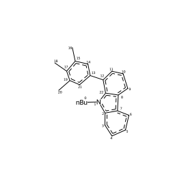 CCCCn1c2ccccc2c2cccc(-c3cc(C)c(C)c(C)c3)c21